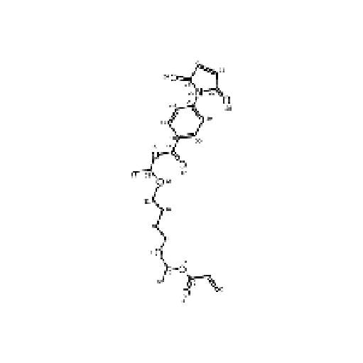 C=CC(=O)OC(C)OCCCCOC(C)OC(=O)c1ccc(N2C(=O)C=CC2=O)cc1